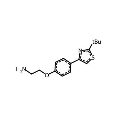 CC(C)(C)c1nc(-c2ccc(OCCN)cc2)cs1